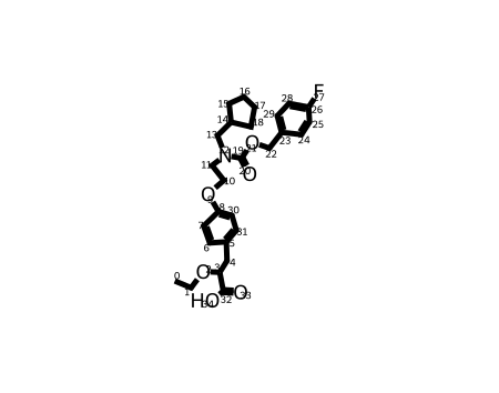 CCOC(Cc1ccc(OCCN(CC2CCCC2)C(=O)OCc2ccc(F)cc2)cc1)C(=O)O